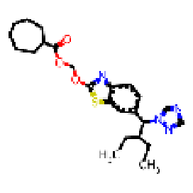 CCC(CC)C(c1ccc2nc(OCOC(=O)C3CCCCCC3)sc2c1)n1cncn1